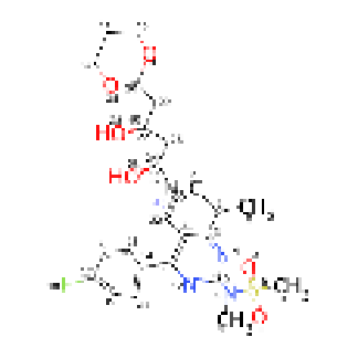 CC(C)c1nc(N(C)S(C)(=O)=O)nc(-c2ccc(F)cc2)c1/C=C/[C@@H](O)C[C@@H](O)CC1OCCCO1